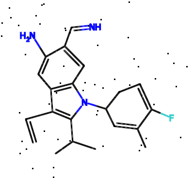 C=Cc1c(C(C)C)n(C2C=C(C)C(F)=CC2)c2cc(C=N)c(N)cc12